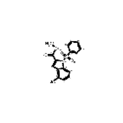 COC(=O)c1cc2c(Br)cccc2n1S(=O)(=O)c1ccccc1